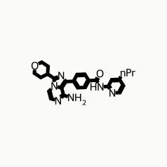 CCCc1ccnc(NC(=O)c2ccc(-c3nc(C4CCOCC4)n4ccnc(N)c34)cc2)c1